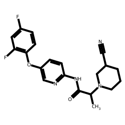 CC(C(=O)Nc1ccc(Oc2ccc(F)cc2F)cn1)N1CCCC(C#N)C1